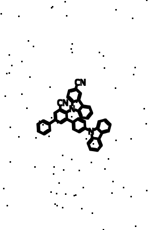 N#Cc1ccc2c(c1)c1ccccc1n2-c1c(C#N)cc(-c2ccccc2)cc1-c1ccc(-n2c3ccccc3c3ccccc32)cc1